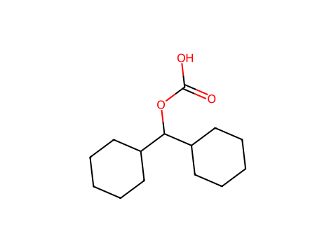 O=C(O)OC(C1CCCCC1)C1CCCCC1